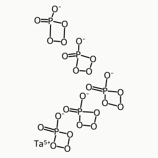 O=P1([O-])OOO1.O=P1([O-])OOO1.O=P1([O-])OOO1.O=P1([O-])OOO1.O=P1([O-])OOO1.[Ta+5]